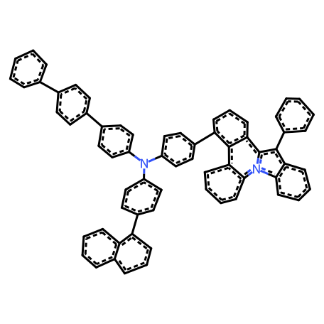 c1ccc(-c2ccc(-c3ccc(N(c4ccc(-c5cccc6ccccc56)cc4)c4ccc(-c5cccc6c5c5ccccc5n5c7ccccc7c(-c7ccccc7)c65)cc4)cc3)cc2)cc1